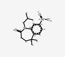 CC(C)CN1C(=O)CCC(C)(C)c2ccc([N+](=O)[O-])cc21